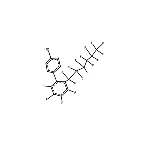 Oc1ccc(-c2c(F)c(F)c(F)c(F)c2C(F)(F)C(F)(F)C(F)(F)C(F)(F)C(F)(F)C(F)(F)F)cc1